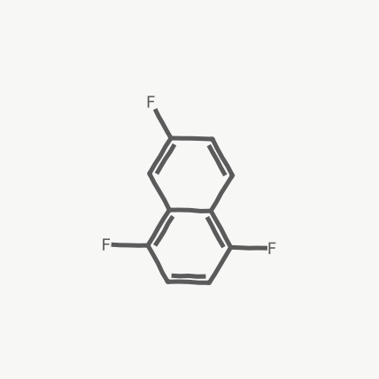 Fc1ccc2c(F)ccc(F)c2c1